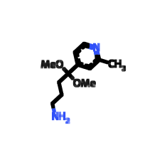 COC(CCCN)(OC)c1ccnc(C)c1